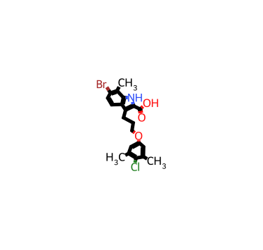 Cc1cc(OCCCc2c(C(=O)O)[nH]c3c(C)c(Br)ccc23)cc(C)c1Cl